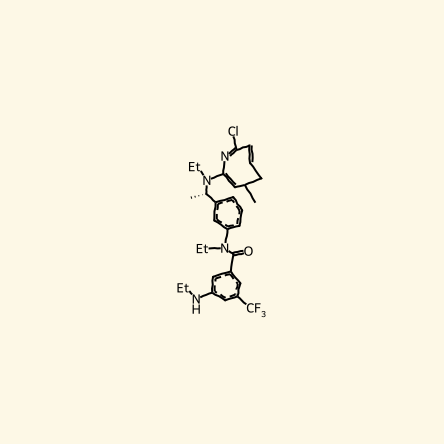 CCNc1cc(C(=O)N(CC)c2cccc([C@H](C)N(CC)C3=C/C(C)C/C=C/C(Cl)=N\3)c2)cc(C(F)(F)F)c1